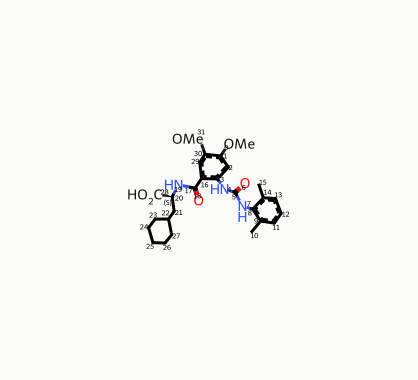 COc1cc(NC(=O)Nc2c(C)cccc2C)c(C(=O)N[C@@H](CC2CCCCC2)C(=O)O)cc1OC